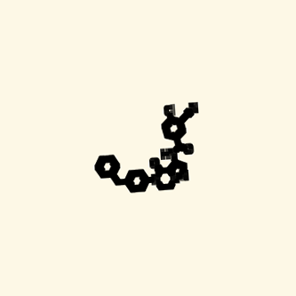 N#Cc1cc(C(=O)Nc2cnn3c2C(=O)N(c2ccc(Cc4ccccc4)cc2)CC3)ccc1Cl